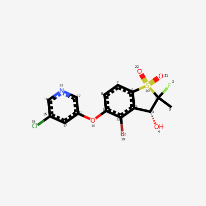 CC1(F)[C@H](O)c2c(ccc(Oc3cncc(Cl)c3)c2Br)S1(=O)=O